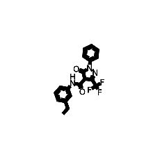 CCc1cccc(NC(=O)C2C(=O)N(c3ccccc3)N=C2C(F)(F)F)c1